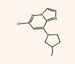 FC1CCN(c2cc(Cl)nn3ccnc23)C1